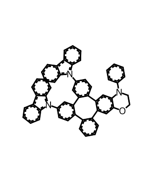 c1ccc(N2CCOc3cc4c(cc32)-c2ccc(-n3c5ccccc5c5ccccc53)cc2-c2cc(-n3c5ccccc5c5ccccc53)ccc2-c2ccccc2-4)cc1